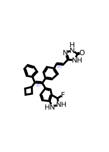 O=c1[nH]nc(/C=C/c2ccc(/C(=C(\c3ccccc3)C3CCC3)c3ccc4c(c3)C(F)NN4)cc2)[nH]1